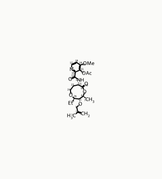 C=C(C)CO[C@H]1[C@H](C)OC(=O)[C@@H](NC(=O)c2nccc(OC)c2OC(C)=O)CCO[C@@H]1CC